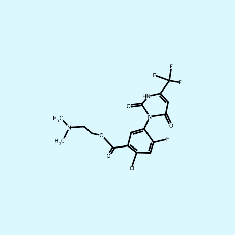 CN(C)CCOC(=O)c1cc(-n2c(=O)cc(C(F)(F)F)[nH]c2=O)c(F)cc1Cl